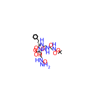 CC(C)(C)OC(=O)NCC(=O)NCC(=O)N[C@@H](CCc1ccccc1)C(=O)N[C@@H](CCCNC(N)=O)C(=O)O